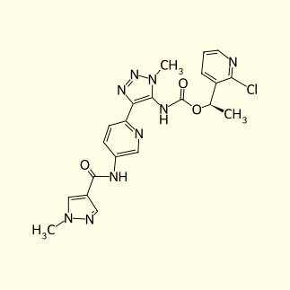 C[C@@H](OC(=O)Nc1c(-c2ccc(NC(=O)c3cnn(C)c3)cn2)nnn1C)c1cccnc1Cl